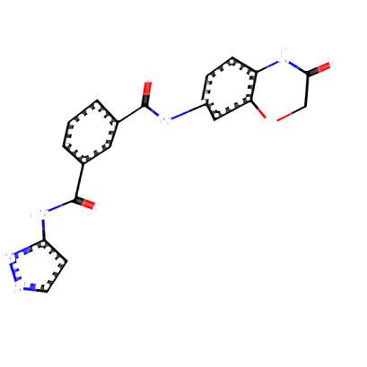 O=C1COc2cc(NC(=O)c3cccc(C(=O)Nc4ccn[nH]4)c3)ccc2N1